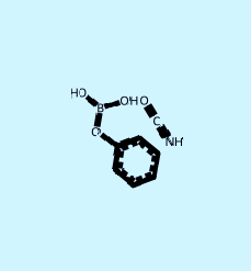 N=C=O.OB(O)Oc1ccccc1